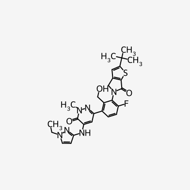 CCn1ccc(Nc2cc(-c3ccc(F)c(N4Cc5cc(C(C)(C)C)sc5C4=O)c3CO)nn(C)c2=O)n1